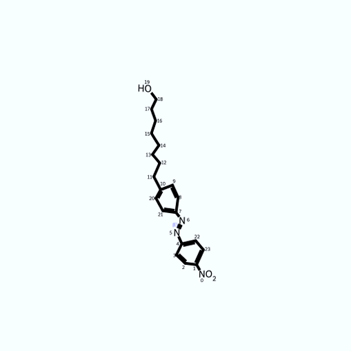 O=[N+]([O-])c1ccc(/N=N/c2ccc(CCCCCCCCO)cc2)cc1